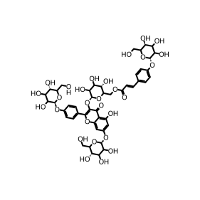 O=C(/C=C/c1ccc(O[C@@H]2OC(CO)[C@@H](O)C(O)C2O)cc1)OCC1O[C@@H](Oc2c(-c3ccc(O[C@@H]4OC(CO)[C@@H](O)C(O)C4O)cc3)oc3cc(O[C@@H]4OC(CO)[C@@H](O)C(O)C4O)cc(O)c3c2=O)C(O)C(O)[C@@H]1O